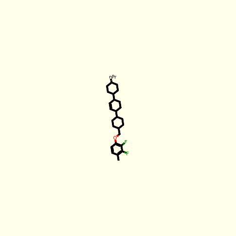 CCCC1CCC(C2C=CC(C3CCC(COc4ccc(C)c(F)c4F)CC3)CC2)CC1